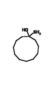 OC1([SiH3])CCCCCCCCCC1